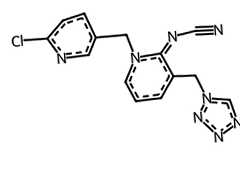 N#C/N=c1\c(Cn2cnnn2)cccn1Cc1ccc(Cl)nc1